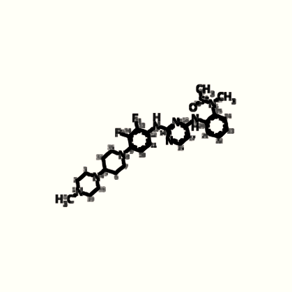 CN1CCN(C2CCN(c3ccc(Nc4nccc(Nc5ccccc5N(C)[S+](C)[O-])n4)c(F)c3F)CC2)CC1